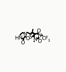 Cc1c(CN2CCNC(=O)C2=O)sc2c1c(=O)n(CC(F)(F)F)c(=O)n2C